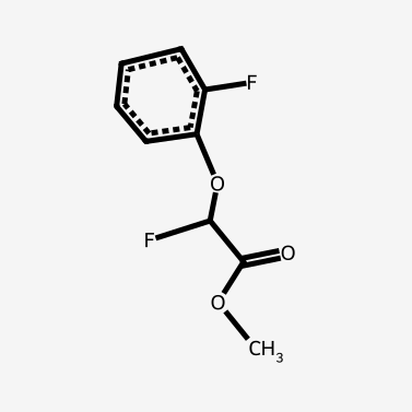 COC(=O)C(F)Oc1ccccc1F